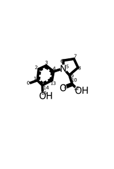 Cc1ccc(N2CCCC2C(=O)O)cc1O